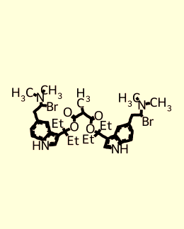 CCC(CC)(OC(=O)C(C)C(=O)OC(CC)(CC)c1c[nH]c2ccc(CC(Br)N(C)C)cc12)c1c[nH]c2ccc(CC(Br)N(C)C)cc12